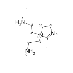 NCC[N+]1(CCN)C=NCC1